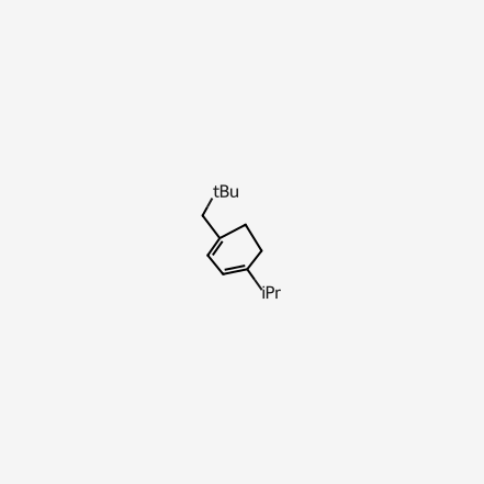 CC(C)C1=CC=C(CC(C)(C)C)CC1